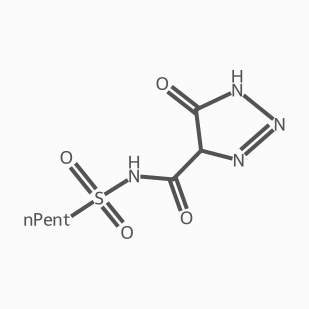 CCCCCS(=O)(=O)NC(=O)C1N=NNC1=O